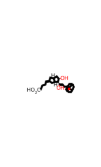 O=C(O)CCC/C=C1/C[C@@H]2C[C@H](O)[C@@H](C(O)=CCC34CC5CC(CC(C5)C3)C4)[C@@H]2C1